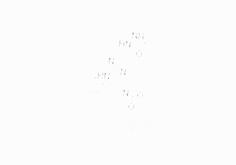 NNC(=O)c1cnc(NC2(c3ccccc3)CCN(C(=O)OCc3ccccc3)CC2)nc1